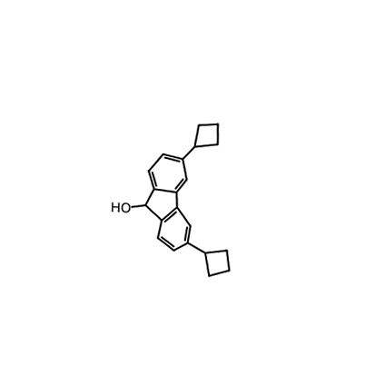 OC1c2ccc(C3CCC3)cc2-c2cc(C3CCC3)ccc21